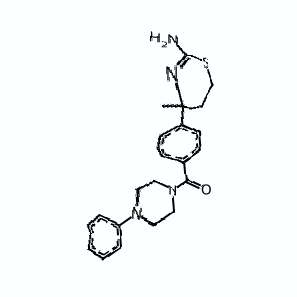 CC1(c2ccc(C(=O)N3CCN(c4ccccc4)CC3)cc2)CCSC(N)=N1